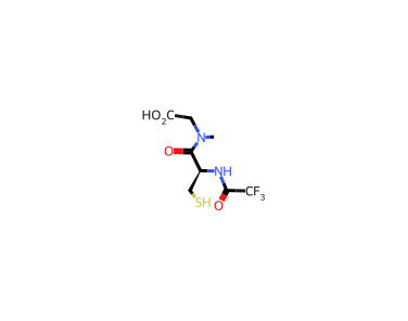 CN(CC(=O)O)C(=O)[C@H](CS)NC(=O)C(F)(F)F